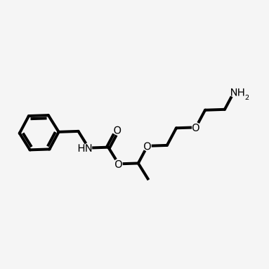 CC(OCCOCCN)OC(=O)NCc1ccccc1